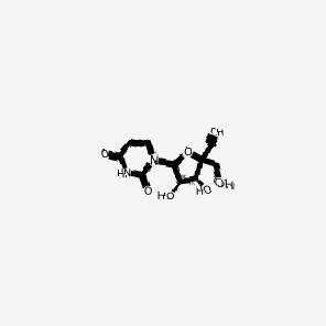 C#CC1(CO)OC(n2ccc(=O)[nH]c2=O)[C@H](O)[C@@H]1O